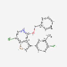 Fc1ccc(-c2csc3c(Br)cnc(OCc4ccccc4)c23)cc1C(F)(F)F